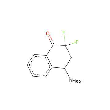 CCCCCCC1CC(F)(F)C(=O)c2ccccc21